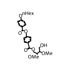 CCCCCCOc1ccc(C(=O)Oc2ccc(C(=O)OCC(OC)C(CO)OC)cc2)cc1